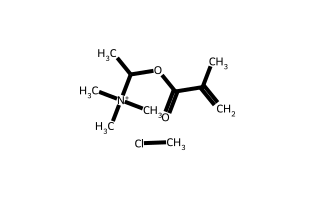 C=C(C)C(=O)OC(C)[N+](C)(C)C.CCl